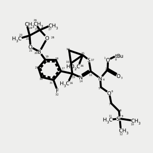 CC(C)(C)OC(=O)N(COCC[Si](C)(C)C)C1=NC(C)(c2cc(B3OC(C)(C)C(C)(C)O3)ccc2F)C2CC2(C(=O)O)S1